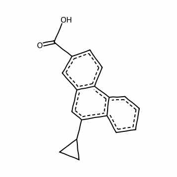 O=C(O)c1ccc2c(c1)cc(C1CC1)c1ccccc12